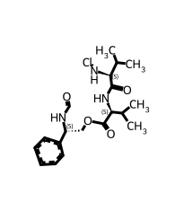 CC(C)[C@H](NCl)C(=O)N[C@H](C(=O)OC[C@@H](NC=O)c1ccccc1)C(C)C